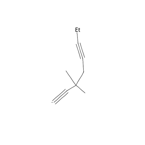 [C]#CC(C)(C)CC#CCC